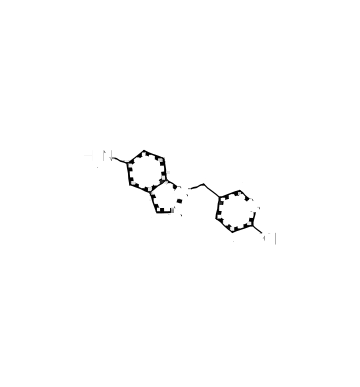 Nc1ccc2c(cnn2Cc2ccc(Cl)nc2)c1